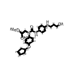 COC(CN(C(=O)Nc1ccc(NCCCO)cc1)c1ccc(OC2CCCC2)cc1)OC